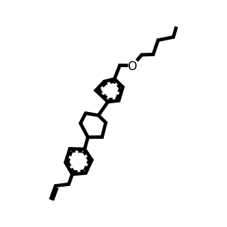 C=CCc1ccc(C2CCC(c3ccc(COCCCCC)cc3)CC2)cc1